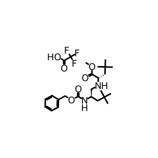 COC(=O)[C@H](CC(C)(C)C)NC[C@@H](CC(C)(C)C)NC(=O)OCc1ccccc1.O=C(O)C(F)(F)F